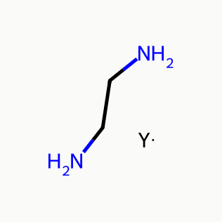 NCCN.[Y]